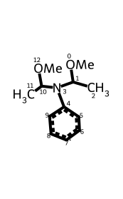 COC(C)N(c1cc[c]cc1)C(C)OC